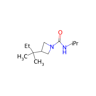 CCC(C)(C)C1CN(C(=O)NC(C)C)C1